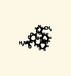 Cc1ncn(C(=O)NC(Cc2ccccc2)C(=O)C(N)=O)c1-c1ccccc1